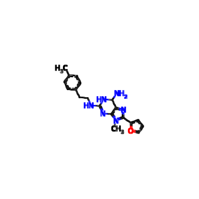 Cc1ccc(CCNC2=Nc3c(nc(-c4ccco4)n3C)C(N)N2)cc1